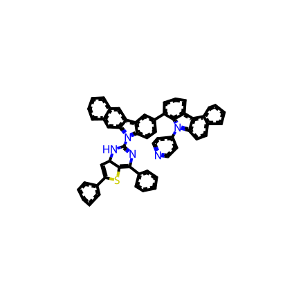 C1=C(c2ccccc2)SC2=C(c3ccccc3)N=C(n3c4ccc(-c5cccc6c7c8ccccc8ccc7n(-c7ccncc7)c56)cc4c4cc5ccccc5cc43)NC12